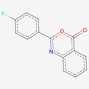 O=c1oc(-c2ccc(F)cc2)nc2ccccc12